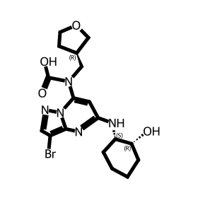 O=C(O)N(C[C@H]1CCOC1)c1cc(N[C@H]2CCCC[C@H]2O)nc2c(Br)cnn12